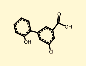 O=C(O)c1cc(Cl)cc(-c2ccccc2O)c1